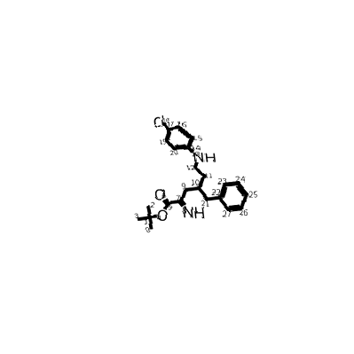 CC(C)(C)OC(=O)C(=N)CC(CCNc1ccc(Cl)cc1)Cc1ccccc1